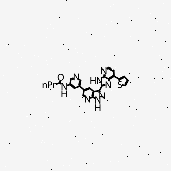 CCCC(=O)Nc1cncc(-c2cnc3[nH]nc(-c4nc5c(-c6cccs6)ccnc5[nH]4)c3c2)c1